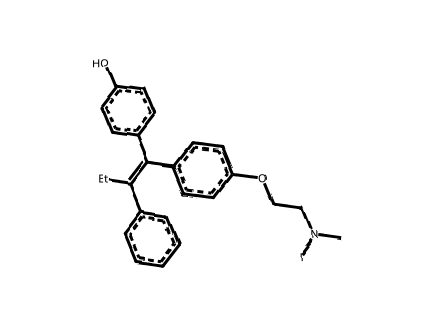 CC/C(=C(\c1ccc(O)cc1)c1ccc(OCCN(C)I)cc1)c1ccccc1